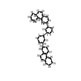 c1cc(-c2cccc(-c3ccc4ccc5cccnc5c4n3)c2)cc(-c2ccc3c(ccc4ccccc43)c2)c1